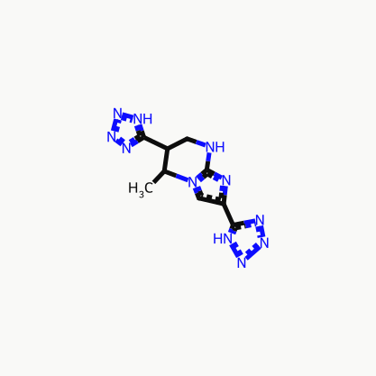 CC1C(c2nnn[nH]2)CNc2nc(-c3nnn[nH]3)cn21